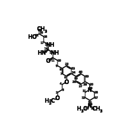 COCCCOc1cc(CCC(=O)NC(=N)NCCC(C)O)ccc1-c1ccc(CN2CCC(N(C)C)CC2)cc1